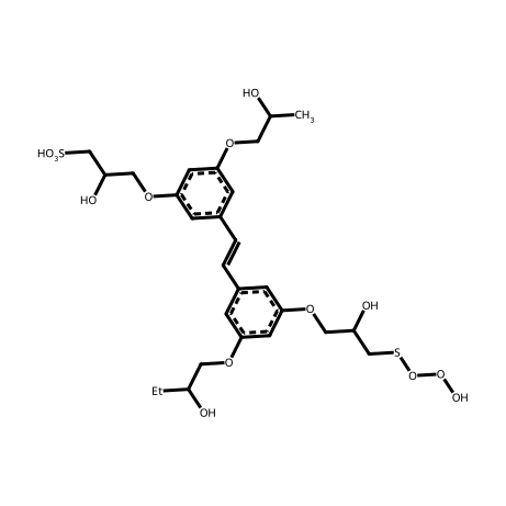 CCC(O)COc1cc(/C=C/c2cc(OCC(C)O)cc(OCC(O)CS(=O)(=O)O)c2)cc(OCC(O)CSOOO)c1